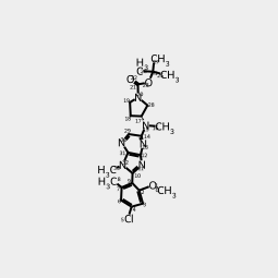 COc1cc(Cl)cc(C)c1-c1nc2nc(N(C)[C@@H]3CCN(C(=O)OC(C)(C)C)C3)cnc2n1C